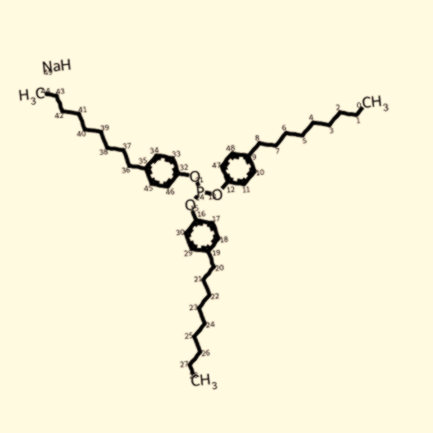 CCCCCCCCCc1ccc(OP(Oc2ccc(CCCCCCCCC)cc2)Oc2ccc(CCCCCCCCC)cc2)cc1.[NaH]